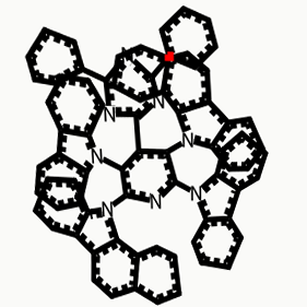 c1ccc(-c2nc(-c3ccccc3)nc(-c3c(-n4c5ccccc5c5ccccc54)c(-n4c5ccccc5c5ccc6ccccc6c54)nc(-n4c5ccccc5c5ccccc54)c3-n3c4ccccc4c4ccc5ccccc5c43)n2)cc1